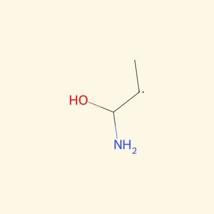 C[CH]C(N)O